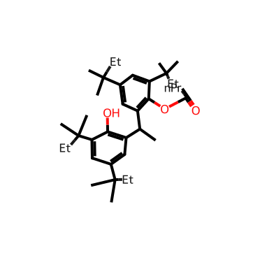 CCCC(=O)Oc1c(C(C)c2cc(C(C)(C)CC)cc(C(C)(C)CC)c2O)cc(C(C)(C)CC)cc1C(C)(C)CC